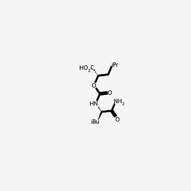 CC[C@H](C)[C@H](NC(=O)O[C@@H](CC(C)C)C(=O)O)C(N)=O